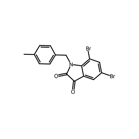 Cc1ccc(CN2C(=O)C(=O)c3cc(Br)cc(Br)c32)cc1